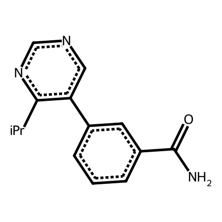 CC(C)c1ncncc1-c1cccc(C(N)=O)c1